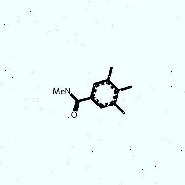 CNC(=O)c1cc(C)c(C)c(C)c1